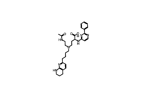 CC(=O)NCCN(CCCCc1ccc2c(n1)NCCC2)CCC(Nc1ccnc(-c2ccccc2)n1)C(=O)O